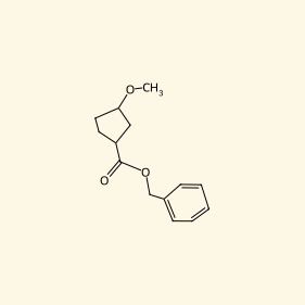 COC1CCC(C(=O)OCc2ccccc2)C1